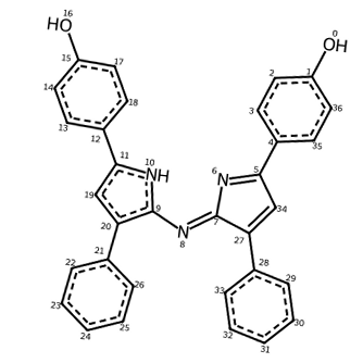 Oc1ccc(C2=NC(=Nc3[nH]c(-c4ccc(O)cc4)cc3-c3ccccc3)C(c3ccccc3)=C2)cc1